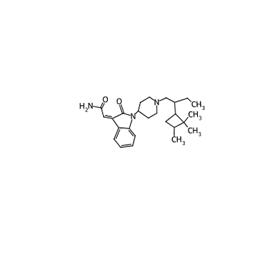 CCC(CN1CCC(N2C(=O)/C(=C\C(N)=O)c3ccccc32)CC1)C1CC(C)C1(C)C